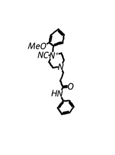 COc1ccccc1[N+]1(C#N)CCN(CCC(=O)Nc2ccccc2)CC1